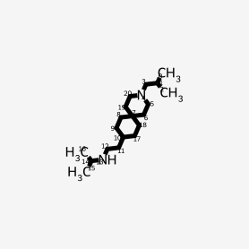 CC(C)CN1CCC2(CCC(CCNC(C)C)CC2)CC1